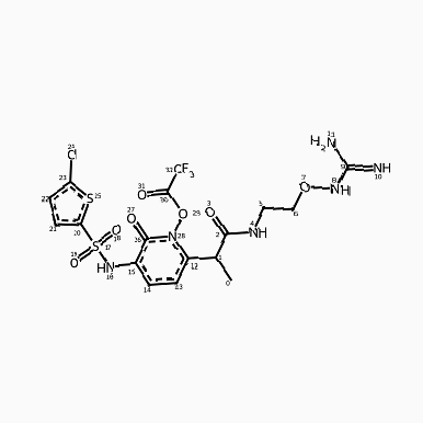 CC(C(=O)NCCONC(=N)N)c1ccc(NS(=O)(=O)c2ccc(Cl)s2)c(=O)n1OC(=O)C(F)(F)F